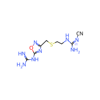 N#C/N=C(/N)NCCSCc1noc(NC(=N)N)n1